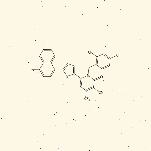 Cc1ccc(-c2ccc(-c3cc(C(F)(F)F)c(C#N)c(=O)n3Cc3ccc(Cl)cc3Cl)s2)c2ccccc12